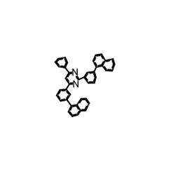 c1ccc(-c2cc(-c3cccc(-c4cccc5ccccc45)c3)nc(-c3cccc(-c4cccc5ccccc45)c3)n2)cc1